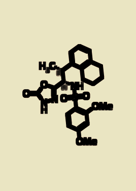 COc1ccc(S(=O)(=O)N[C@H](c2n[nH]c(=O)o2)[C@H](C)c2cccc3c2CCCC3)c(OC)c1